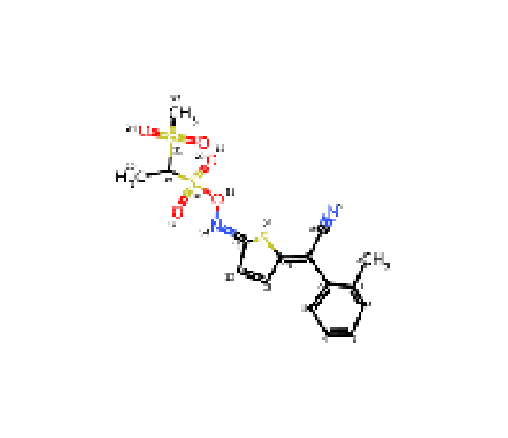 Cc1ccccc1/C(C#N)=C1\C=CC(=NOS(=O)(=O)C(C)S(C)(=O)=O)S1